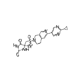 CCC1(CS(=O)(=O)N2CCc3cc(-c4cnc(C5CC5)nc4)ncc3C2)NC(=O)NC1=O